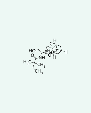 CCC(C)(C)C(=O)N[C@@H](CO)B1O[C@@H]2C[C@@H]3C[C@@H](C3(C)C)[C@]2(C)O1